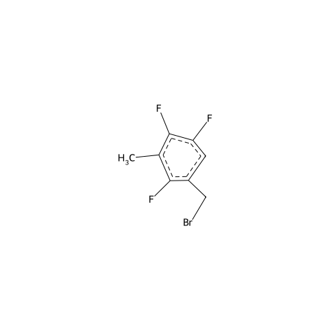 Cc1c(F)c(F)cc(CBr)c1F